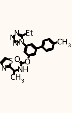 CCc1nnnn1-c1cc(OC(=O)NC(C)c2nccs2)cc(-c2ccc(C)cc2)c1